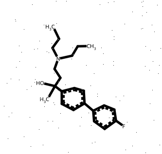 CCCN(CCC)CCC(C)(O)c1ccc(-c2ccc(F)cc2)cc1